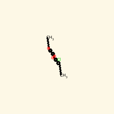 CCCCCCCCCOc1ccc(-c2ccc(OC(=O)c3ccc(C4CCC(CCCCCCCCC)CC4)c(Cl)c3)cc2)cc1